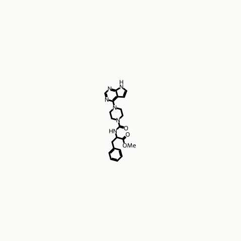 COC(=O)C(Cc1ccccc1)NC(=O)N1CCN(c2ncnc3[nH]ccc23)CC1